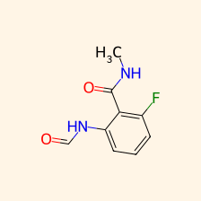 CNC(=O)c1c(F)cccc1NC=O